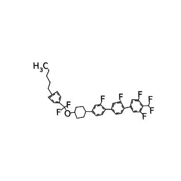 CCCCCc1ccc(C(F)(F)OC2CCC(c3ccc(-c4ccc(-c5cc(F)c(C(F)F)c(F)c5)c(F)c4)c(F)c3)CC2)cc1